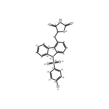 O=C1NC(=O)C(Cc2cccc3c2c2ccccc2n3S(=O)(=O)c2ccc(Cl)cc2)S1